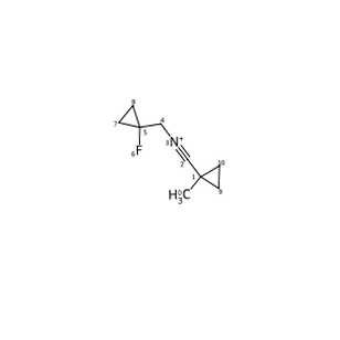 CC1(C#[N+]CC2(F)CC2)CC1